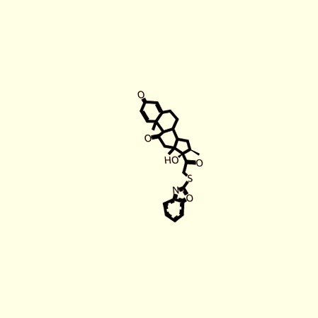 C[C@@H]1CC2C3CCC4=CC(=O)C=CC4(C)C3C(=O)CC2(C)[C@@]1(O)C(=O)CSc1nc2ccccc2o1